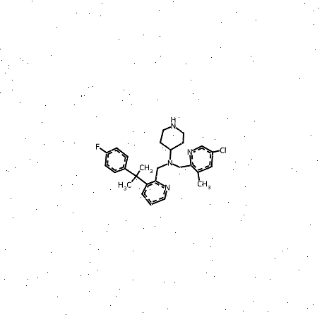 Cc1cc(Cl)cnc1CN(Cc1ncccc1C(C)(C)c1ccc(F)cc1)C1CCNCC1